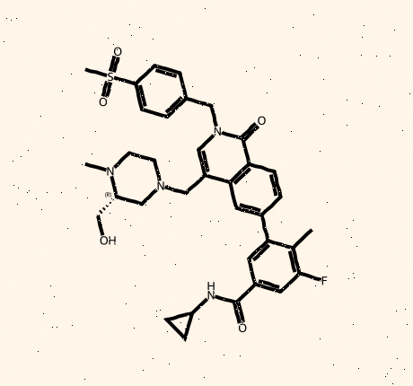 Cc1c(F)cc(C(=O)NC2CC2)cc1-c1ccc2c(=O)n(Cc3ccc(S(C)(=O)=O)cc3)cc(CN3CCN(C)[C@@H](CO)C3)c2c1